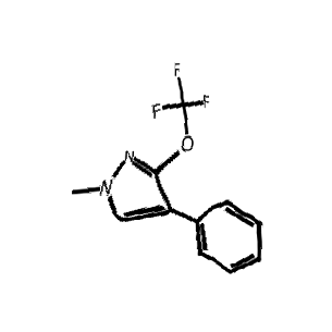 Cn1cc(-c2ccccc2)c(OC(F)(F)F)n1